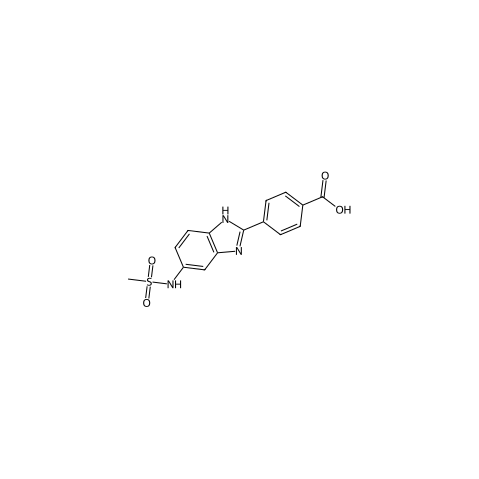 CS(=O)(=O)Nc1ccc2[nH]c(-c3ccc(C(=O)O)cc3)nc2c1